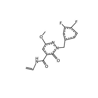 C=CNC(=O)c1cc(OC)nn(Cc2ccc(F)c(F)c2)c1=O